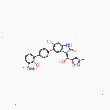 COc1cccc(-c2ccc(-c3cc4c(cc3Cl)NC(=O)/C4=C(/O)c3cc(C)no3)cc2)c1O